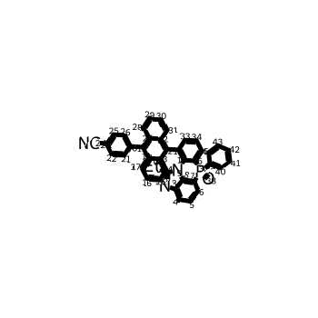 CCc1nc2cccc3c2n1-c1c(-c2c4ccccc4c(-c4ccc(C#N)cc4)c4ccccc24)cccc1P3(=O)c1ccccc1